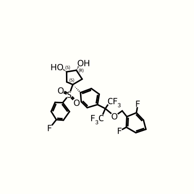 O=S(=O)(c1ccc(F)cc1)[C@]1(c2ccc(C(OCc3c(F)cccc3F)(C(F)(F)F)C(F)(F)F)cc2)C[C@@H](O)[C@@H](O)C1